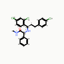 CNC(=O)[C@@H](N[C@H](CCc1ccc(Cl)cc1)c1ccc(Cl)cc1Cl)c1ccccc1